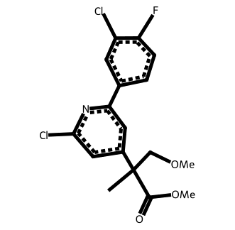 COCC(C)(C(=O)OC)c1cc(Cl)nc(-c2ccc(F)c(Cl)c2)c1